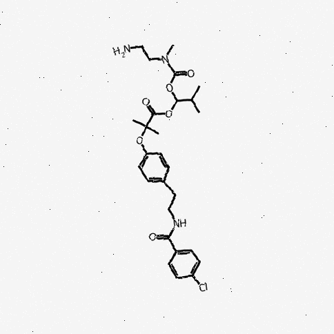 CC(C)C(OC(=O)N(C)CCN)OC(=O)C(C)(C)Oc1ccc(CCNC(=O)c2ccc(Cl)cc2)cc1